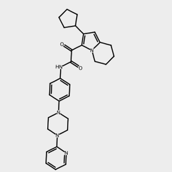 O=C(Nc1ccc(N2CCN(c3ccccn3)CC2)cc1)C(=O)c1c(C2CCCC2)cc2n1CCCC2